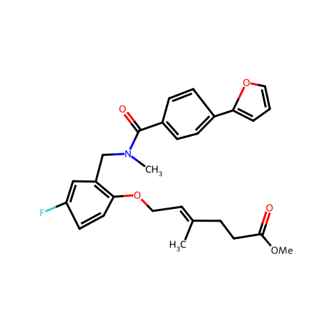 COC(=O)CC/C(C)=C/COc1ccc(F)cc1CN(C)C(=O)c1ccc(-c2ccco2)cc1